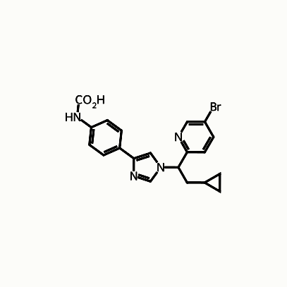 O=C(O)Nc1ccc(-c2cn(C(CC3CC3)c3ccc(Br)cn3)cn2)cc1